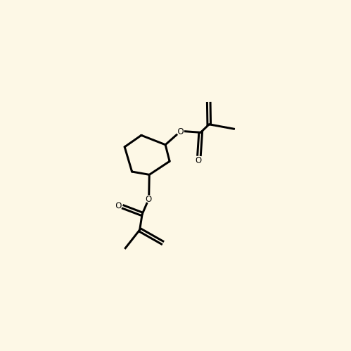 C=C(C)C(=O)OC1CCCC(OC(=O)C(=C)C)C1